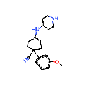 COc1cccc(C2(C#N)CCC(NC3CCNCC3)CC2)c1